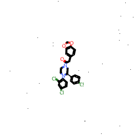 O=C(Cc1ccc2c(c1)OCO2)N1CCN(c2ccc(Cl)cc2Cl)[C@H](c2ccc(Cl)cc2)C1